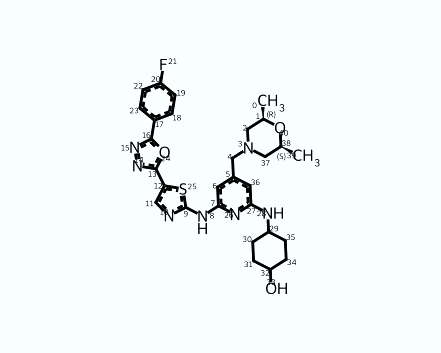 C[C@@H]1CN(Cc2cc(Nc3ncc(-c4nnc(-c5ccc(F)cc5)o4)s3)nc(NC3CCC(O)CC3)c2)C[C@H](C)O1